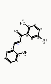 O=C(/C=C/c1ccccc1O)c1cc(O)ccc1O